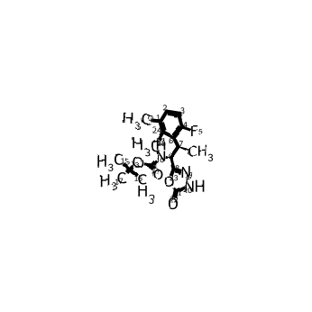 Cc1ccc(F)c([C@@H](C)[C@H](NC(=O)OC(C)(C)C)c2n[nH]c(=O)o2)c1C